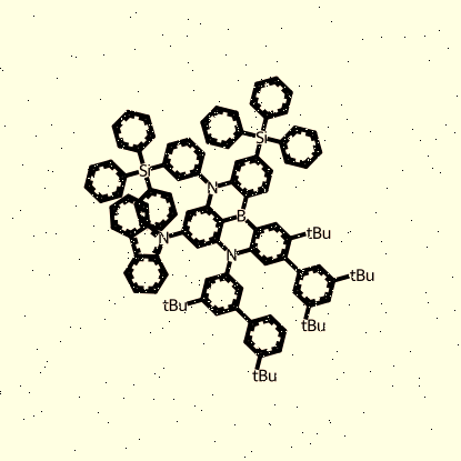 CC(C)(C)c1cccc(-c2cc(N3c4cc(-c5cc(C(C)(C)C)cc(C(C)(C)C)c5)c(C(C)(C)C)cc4B4c5ccc([Si](c6ccccc6)(c6ccccc6)c6ccccc6)cc5N(c5cccc([Si](c6ccccc6)(c6ccccc6)c6ccccc6)c5)c5cc(-n6c7ccccc7c7ccccc76)cc3c54)cc(C(C)(C)C)c2)c1